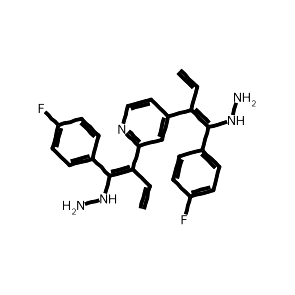 C=C/C(=C(\NN)c1ccc(F)cc1)c1ccnc(/C(C=C)=C(/NN)c2ccc(F)cc2)c1